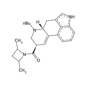 CCCCN1C[C@H](C(=O)N2C(C)CC2C)C=C2c3cccc4[nH]cc(c34)C[C@H]21